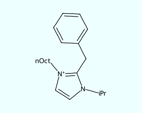 CCCCCCCC[n+]1ccn(C(C)C)c1Cc1ccccc1